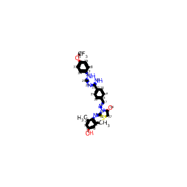 Cc1cc(O)cc(C)c1/N=C1\SCC(=O)N1/N=C/c1ccc(C(=N)/N=C\Nc2ccc(OC(F)(F)F)cc2)cc1